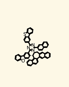 c1ccc2cc(-c3nc(-c4ccc5sc6ccccc6c5c4)nc(-c4cc5c(cc4[C@@H]4CCc6cc7ccccc7cc6-c6ccc7ccccc7c64)oc4ccccc45)n3)ccc2c1